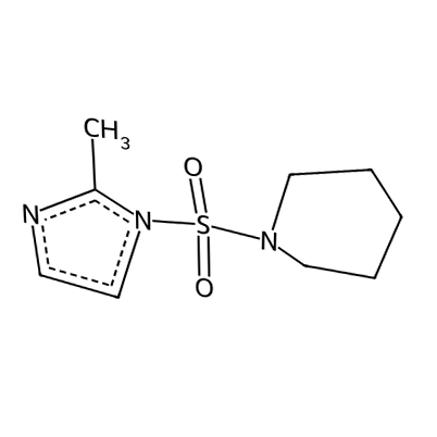 Cc1nccn1S(=O)(=O)N1CCCCC1